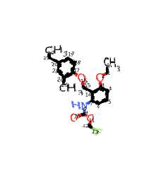 CCOc1cccc(NC(=O)OCF)c1COc1ccc(CC)cc1C